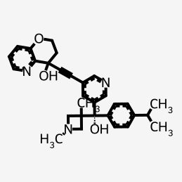 CC(C)c1ccc([C@](O)(c2cncc(C#CC3(O)CCOc4cccnc43)c2)C2(C)CN(C)C2)cc1